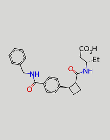 CC[C@@H](CC(=O)O)NC(=O)C1CC[C@H]1c1ccc(C(=O)NCc2ccccc2)cc1